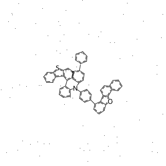 c1ccc(-c2ccc(N(c3ccc(-c4cccc5oc6c7ccccc7ccc6c45)cc3)c3ccccc3-c3cccc4sc5ccccc5c34)cc2)cc1